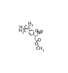 CCOC(=O)CC(C[N+](=O)[O-])c1ccc(C(C)(C)C)cc1